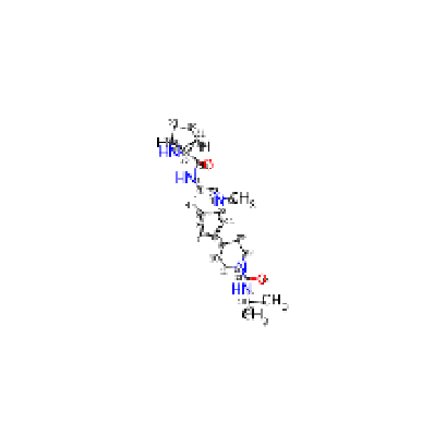 C/N=C/[C@H](Cc1ccc(C2CCN(C(=O)NC(C)C)CC2)cc1)NC(=O)[C@H]1N[C@@H]2CC[C@H]1C2